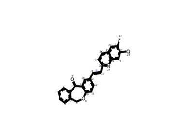 O=C1c2ccccc2COc2ccc(/C=C/c3ccc4cc(F)c(Cl)cc4n3)cc21